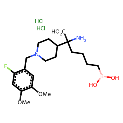 COc1cc(F)c(CN2CCC(C(N)(CCCCB(O)O)C(=O)O)CC2)cc1OC.Cl.Cl